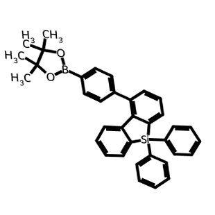 CC1(C)OB(c2ccc(-c3cccc4c3-c3ccccc3[Si]4(c3ccccc3)c3ccccc3)cc2)OC1(C)C